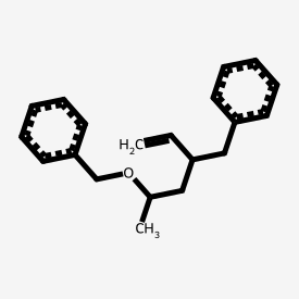 C=CC(Cc1ccccc1)CC(C)OCc1ccccc1